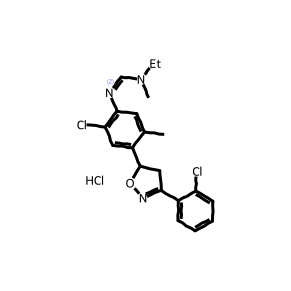 CCN(C)/C=N\c1cc(C)c(C2CC(c3ccccc3Cl)=NO2)cc1Cl.Cl